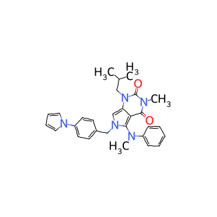 CC(C)Cn1c(=O)n(C)c(=O)c2c(N(C)c3ccccc3)n(Cc3ccc(-n4cccc4)cc3)cc21